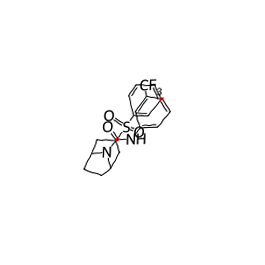 O=C(Nc1cccc(C(F)(F)F)c1)N1C2CCC1CC(S(=O)(=O)c1ccccc1)C2